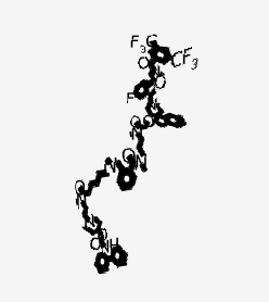 CN(CCCCCC(=O)N(C)CCN1CCC(OC(=O)Nc2ccccc2-c2ccccc2)CC1)Cc1ccccc1C(=O)N(C)CCCN(C)C(=O)CO[C@H]1Cc2ccccc2C12CCN(CC[C@]1(c3ccc(F)cc3)CN(C(=O)c3cc(C(F)(F)F)cc(C(F)(F)F)c3)CO1)CC2